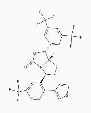 O=C1O[C@H](c2cc(C(F)(F)F)cc(C(F)(F)F)c2)[C@@H]2CC[C@@H](c3cc(C(F)(F)F)ccc3-c3ccsc3)N12